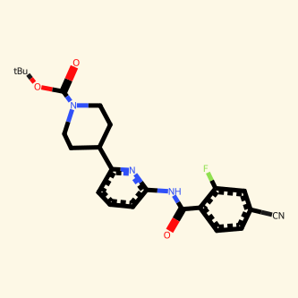 CC(C)(C)OC(=O)N1CCC(c2cccc(NC(=O)c3ccc(C#N)cc3F)n2)CC1